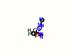 CC(N1CCn2nc(-c3cccnc3)nc2C1)[C@](O)(Cn1cncn1)c1ccc(F)cc1F